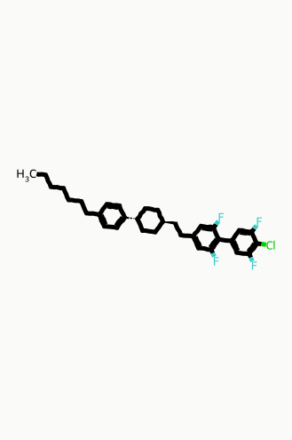 CCCCCCCc1ccc([C@H]2CC[C@H](CCc3cc(F)c(-c4cc(F)c(Cl)c(F)c4)c(F)c3)CC2)cc1